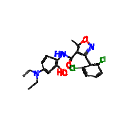 CCN(CC)c1ccc(NC(=O)c2c(-c3c(Cl)cccc3Cl)noc2C)c(O)c1